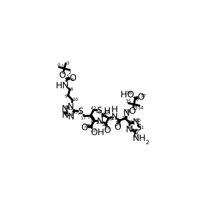 CC(C)(C)OC(=O)NCCCn1nnnc1SCC1=C(C(=O)O)N2C(=O)C(NC(=O)C(=NOC(C)(C)C(=O)O)c3nsc(N)n3)[C@@H]2SC1